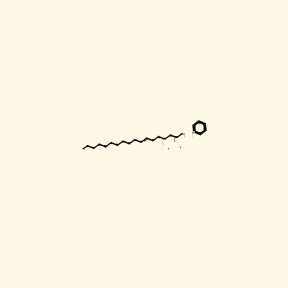 CCCCCCCCCCCCCCC(N)CC(N)COc1ccccc1